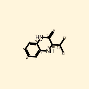 C=C1Nc2ccccc2NC1C(C)C